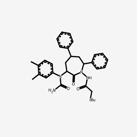 Cc1ccc(N(C(N)=O)C2CC(c3ccccc3)CC(c3ccccc3)N(NC(=O)CC(C)(C)C)C2=O)cc1C